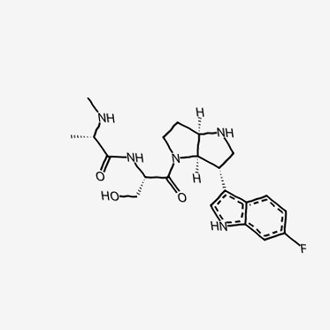 CN[C@@H](C)C(=O)N[C@@H](CO)C(=O)N1CC[C@H]2NC[C@H](c3c[nH]c4cc(F)ccc34)[C@H]21